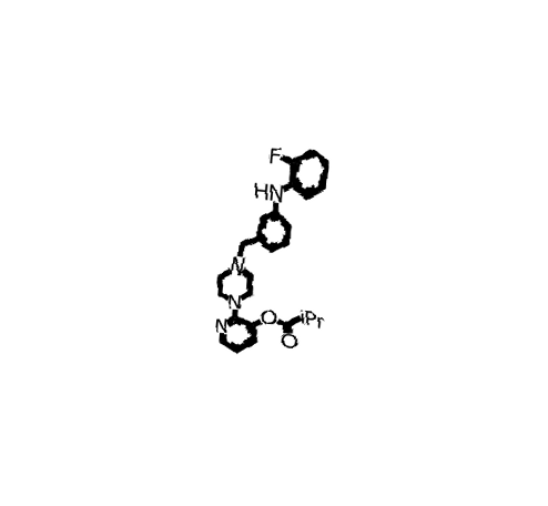 CC(C)C(=O)Oc1cccnc1N1CCN(Cc2cccc(Nc3ccccc3F)c2)CC1